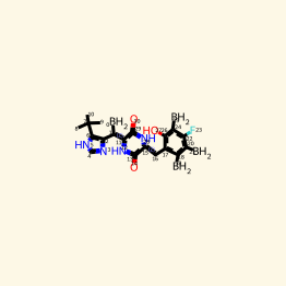 B/C(c1nc[nH]c1C(C)(C)C)=c1/[nH]c(=O)/c(=C/c2c(B)c(B)c(F)c(B)c2O)[nH]c1=O